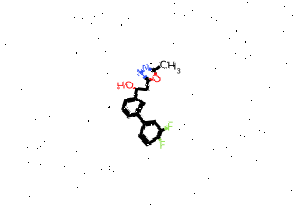 Cc1nnc(CC(O)c2cccc(-c3ccc(F)c(F)c3)c2)o1